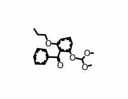 CCCOc1cccc(OC(OC)OC)c1C(=O)c1ccccc1